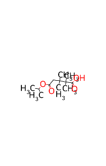 CC(C)OC(=O)CC(C)(C)C(C)(C)C(=O)O